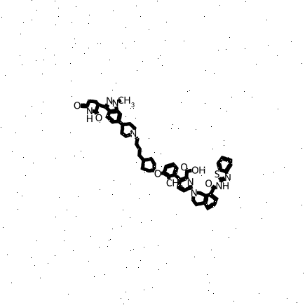 Cc1c(OC2CCC(CCCCN3CCC(c4ccc5c(C6CCC(=O)NC6=O)nn(C)c5c4)CC3)CC2)cccc1-c1ccc(N2CCc3cccc(C(=O)Nc4nc5ccccc5s4)c3C2)nc1C(=O)O